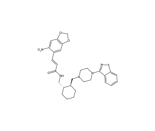 O=C(/C=C/c1cc2c(cc1[N+](=O)[O-])OCO2)NC[C@H]1CCCC[C@@H]1CN1CCN(c2nsc3ccccc23)CC1